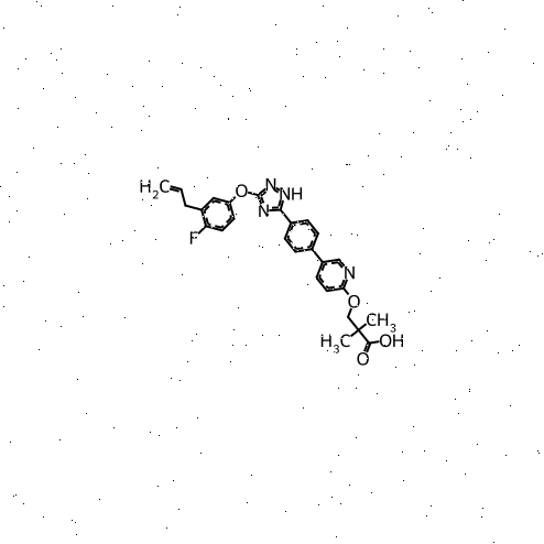 C=CCc1cc(Oc2n[nH]c(-c3ccc(-c4ccc(OCC(C)(C)C(=O)O)nc4)cc3)n2)ccc1F